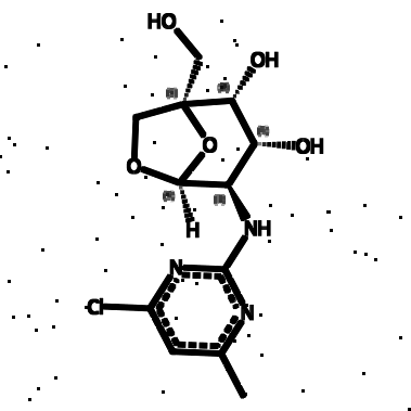 Cc1cc(Cl)nc(N[C@H]2[C@H]3OC[C@](CO)(O3)[C@H](O)[C@@H]2O)n1